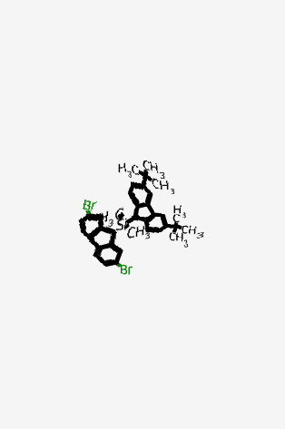 CC(C)(C)c1ccc2c(c1)-c1cc(C(C)(C)C)ccc1C2[Si](C)(C)C1c2cc(Br)ccc2-c2ccc(Br)cc21